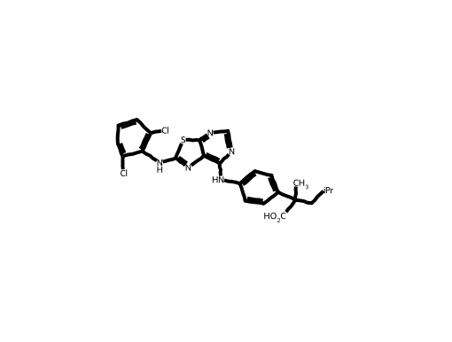 CC(C)CC(C)(C(=O)O)c1ccc(Nc2ncnc3sc(Nc4c(Cl)cccc4Cl)nc23)cc1